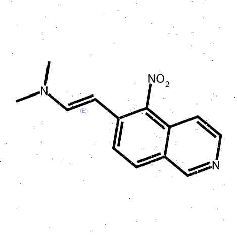 CN(C)/C=C/c1ccc2cnccc2c1[N+](=O)[O-]